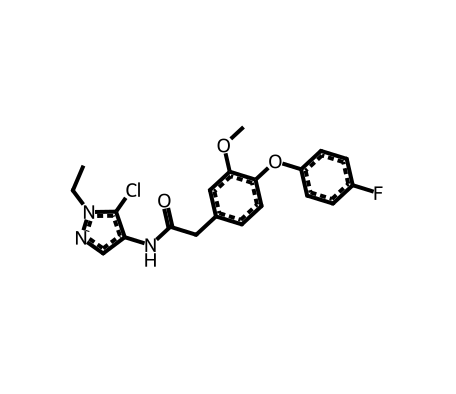 CCn1ncc(NC(=O)Cc2ccc(Oc3ccc(F)cc3)c(OC)c2)c1Cl